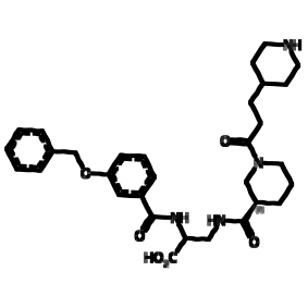 O=C(NC(CNC(=O)[C@@H]1CCCN(C(=O)CCC2CCNCC2)C1)C(=O)O)c1cccc(OCc2ccccc2)c1